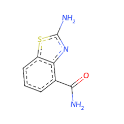 NC(=O)c1cccc2sc(N)nc12